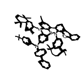 Cc1cc2c3c(c1)N(c1cc4c(cc1C)C(C)(C)CCC4(C)C)c1cc(N(c4ccc(-c5ccccc5)cc4)c4ccc(C(C)(C)C)cc4)ccc1B3N(c1ccc3c(c1)C(C)(C)CCC3(C)C)c1c-2ccc2c1oc1ccccc12